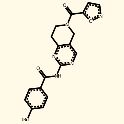 CC(C)(C)c1ccc(C(=O)Nc2ncc3c(n2)CCN(C(=O)c2ccno2)C3)cc1